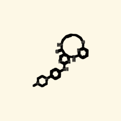 CN1CCN(c2ccc(Nc3ncc4c(n3)Nc3cccc(n3)OCC/C=C\CNC4=O)cc2)CC1